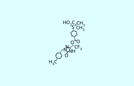 Cc1ccc(Cn2nc([C@H](OC(=O)c3ccc(SC(C)(C)C(=O)O)cc3)C(F)(F)F)[nH]c2=O)cc1